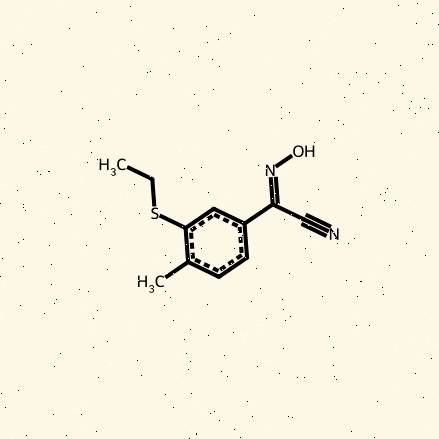 CCSc1cc(/C(C#N)=N/O)ccc1C